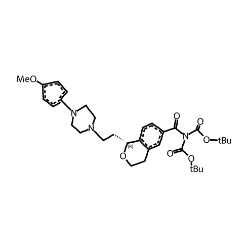 COc1ccc(N2CCN(CC[C@H]3OCCc4cc(C(=O)N(C(=O)OC(C)(C)C)C(=O)OC(C)(C)C)ccc43)CC2)cc1